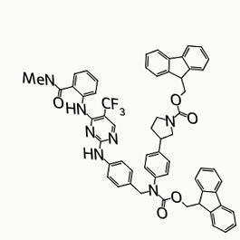 CNC(=O)c1ccccc1Nc1nc(Nc2ccc(CN(C(=O)OCC3c4ccccc4-c4ccccc43)c3ccc(C4CCN(C(=O)OCC5c6ccccc6-c6ccccc65)C4)cc3)cc2)ncc1C(F)(F)F